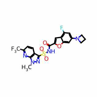 Cn1nc(S(=O)(=O)NC(=O)c2cc3c(F)cc(N4CCC4)cc3o2)c2ccc(C(F)(F)F)nc21